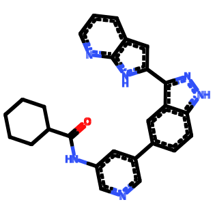 O=C(Nc1cncc(-c2ccc3[nH]nc(-c4cc5cccnc5[nH]4)c3c2)c1)C1CCCCC1